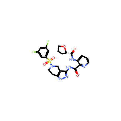 O=C(Nc1n[nH]c2c1CN(S(=O)(=O)c1cc(F)cc(F)c1)CC2)c1ncccc1NC(=O)[C@@H]1CCCO1